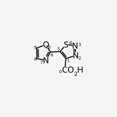 O=C(O)c1nnsc1-c1ncco1